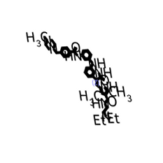 CCN(CC)CCNC(=O)c1c(C)[nH]c(/C=C2\C(=O)Nc3c(Nc4cccc(NC(=O)c5ccc(CN6CCN(C)CC6)cc5)c4)cccc32)c1C